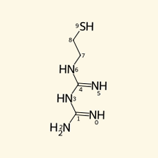 N=C(N)NC(=N)NCCS